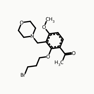 COc1ccc(C(C)=O)c(OCCCBr)c1CN1CCOCC1